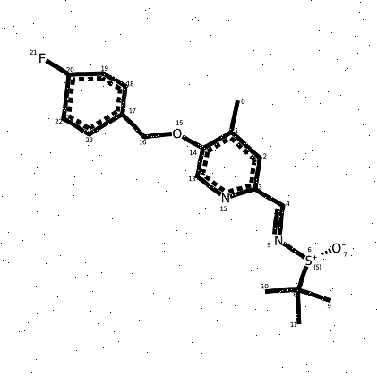 Cc1cc(C=N[S@+]([O-])C(C)(C)C)ncc1OCc1ccc(F)cc1